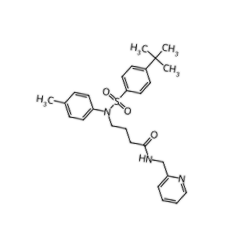 Cc1ccc(N(CCCC(=O)NCc2ccccn2)S(=O)(=O)c2ccc(C(C)(C)C)cc2)cc1